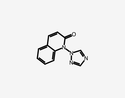 O=c1ccc2ccccc2n1-n1cncn1